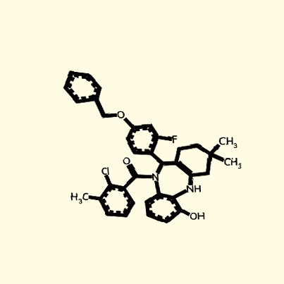 Cc1cccc(C(=O)N2c3cccc(O)c3NC3=C(CCC(C)(C)C3)C2c2ccc(OCc3ccccc3)cc2F)c1Cl